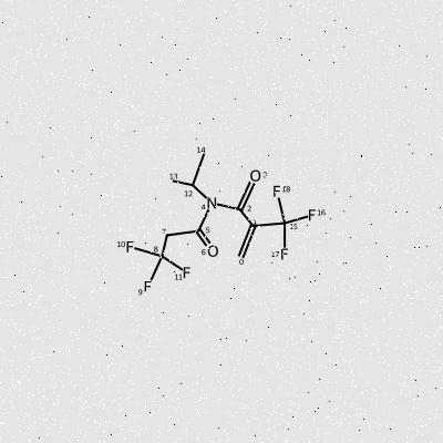 C=C(C(=O)N(C(=O)CC(F)(F)F)C(C)C)C(F)(F)F